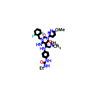 CCNC(=O)Nc1ccc(N/C(CN(C)C)=C2\C(=N)N(CC3=C(F)C=CCC3F)C(=O)N(c3ccc(OC)nn3)C2=O)cc1